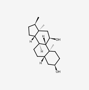 C[C@@H]1CC[C@H]2[C@@H]3CC[C@H]4C[C@H](O)CC[C@]4(C)[C@H]3[C@H](O)C[C@]12C